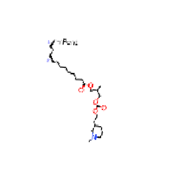 CCCCC/C=C\C/C=C\CCCCCCCC(=O)OCC(C)COC(=O)OCCC1CCCN(C)C1